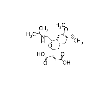 COc1cc2c(cc1OC)C(CNC(C)C)OCC2.O=C(O)/C=C/C(=O)O